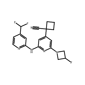 N#CC1(c2cc(Nc3cc(C(F)F)ccn3)nc(N3CC(F)C3)c2)CCC1